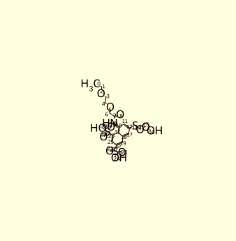 CCOCCOCC(=O)Nc1cc(SOOO)cc2cc(S(=O)(=O)O)cc(S(=O)(=O)O)c12